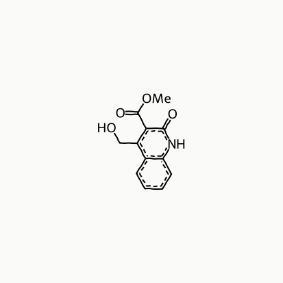 COC(=O)c1c(CO)c2ccccc2[nH]c1=O